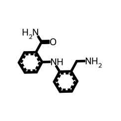 NCc1ccccc1Nc1ccccc1C(N)=O